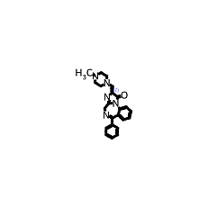 CN1CCN(/C=C2\N=C3CN=C(c4ccccc4)c4ccccc4N3C2=O)CC1